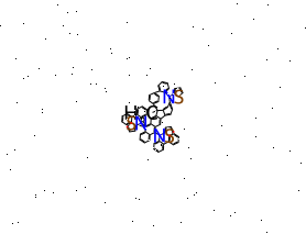 CC12c3ccc(cc3)-c3ccccc3N(c3cccs3)c3ccc(c1c3)-c1cc3c(N(c4cccs4)c4ccccc4-c4ccccc4)c4ccccc4c(N(c4cccs4)c4ccccc4-c4ccccc4)c3cc12